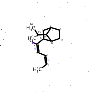 C/C=C\C=C(\I)C1CC2CCC1C2C(C)C